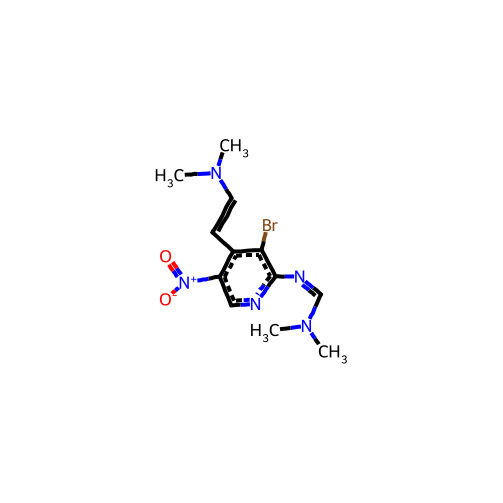 CN(C)/C=N\c1ncc([N+](=O)[O-])c(/C=C/N(C)C)c1Br